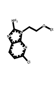 CCOCCn1c(N)nc2ccc(Cl)nc21